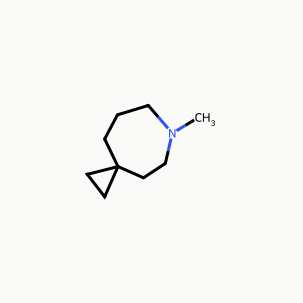 CN1CCCC2(CC1)CC2